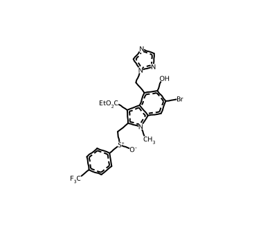 CCOC(=O)c1c(C[S+]([O-])c2ccc(C(F)(F)F)cc2)n(C)c2cc(Br)c(O)c(Cn3cncn3)c12